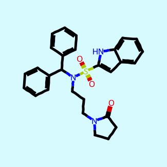 O=C1CCCN1CCCN(C(c1ccccc1)c1ccccc1)S(=O)(=O)c1cc2ccccc2[nH]1